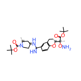 C[C@@H]1C[C@H](NC(=N)c2ccc3c(c2)CC[C@H]([C@](C)(ON)C(=O)OC(C)(C)C)O3)CCN1C(=O)OC(C)(C)C